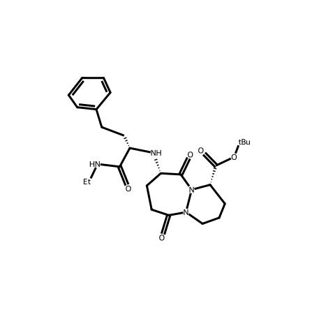 CCNC(=O)[C@H](CCc1ccccc1)N[C@H]1CCC(=O)N2CCC[C@@H](C(=O)OC(C)(C)C)N2C1=O